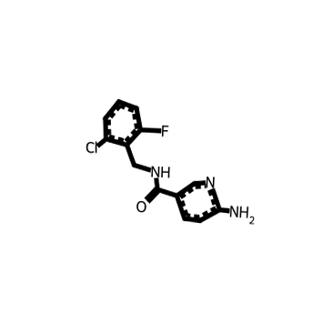 Nc1ccc(C(=O)NCc2c(F)cccc2Cl)cn1